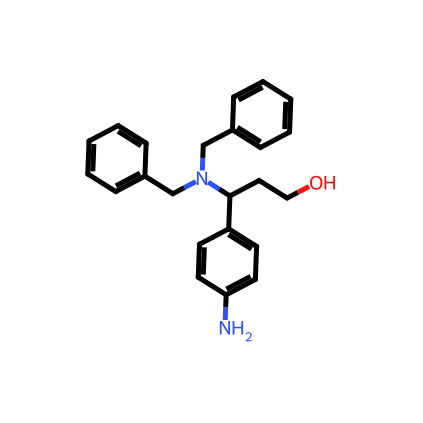 Nc1ccc(C(CCO)N(Cc2ccccc2)Cc2ccccc2)cc1